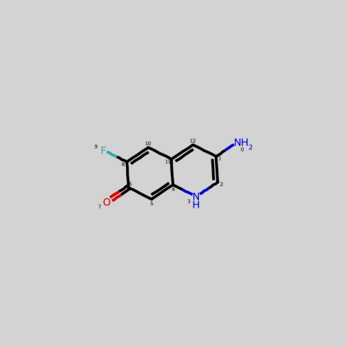 Nc1c[nH]c2cc(=O)c(F)cc-2c1